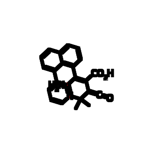 CC1(C)C=C(N)C(c2cccc3cccc(-c4cccnc4)c23)=C(C(=O)O)C1=C=O